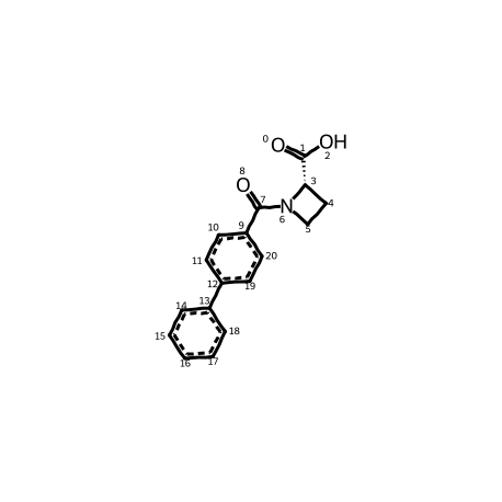 O=C(O)[C@@H]1CCN1C(=O)c1ccc(-c2ccccc2)cc1